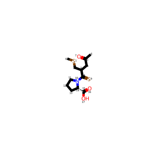 CSCC(CC(C)=O)C(=S)N1CCC[C@H]1C(=O)O